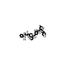 Cc1cnc(N2CC3(CCOCC3)C2)c(C(=O)Nc2ccc(C(=O)N3CCc4c(sc(C(=O)Nc5ccccc5)c4F)-c4ncccc43)cc2)c1